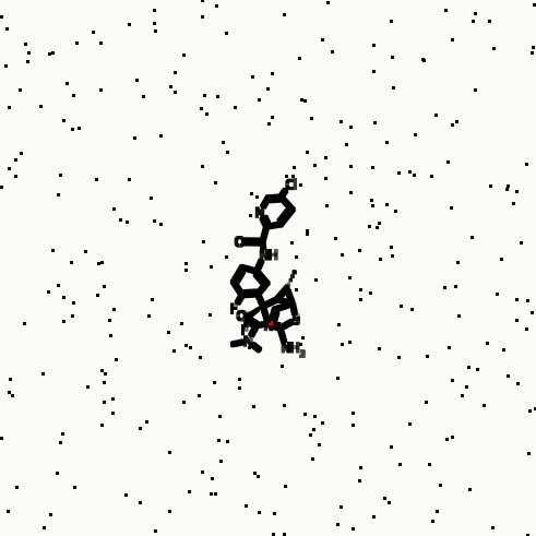 C[C@H]1C2C1(/C=C/C(=O)N(C)C)SC(N)=N[C@]2(CF)c1cc(NC(=O)c2ccc(Cl)cn2)ccc1F